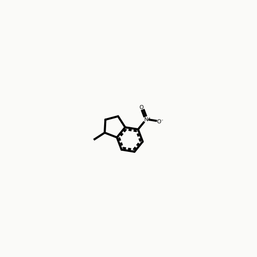 CC1CCc2c1cccc2[N+](=O)[O-]